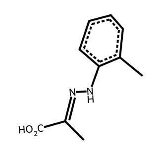 CC(=NNc1ccccc1C)C(=O)O